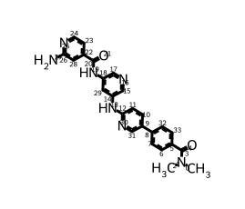 CN(C)C(=O)c1ccc(-c2ccc(Nc3cncc(NC(=O)c4ccnc(N)c4)c3)nc2)cc1